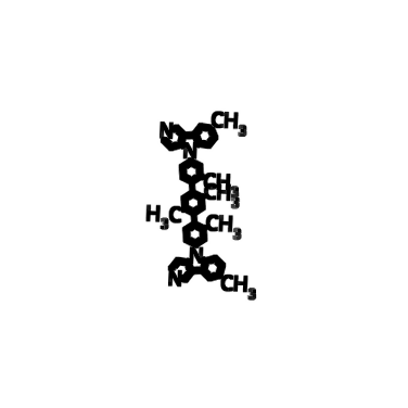 Cc1ccc2c(c1)c1cnccc1n2-c1ccc(-c2cc(C)c(-c3ccc(-n4c5ccncc5c5cc(C)ccc54)cc3C)cc2C)c(C)c1